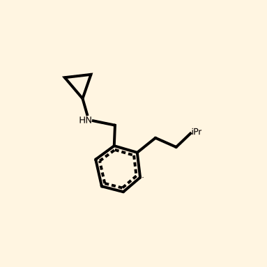 CC(C)CCc1[c]cccc1CNC1CC1